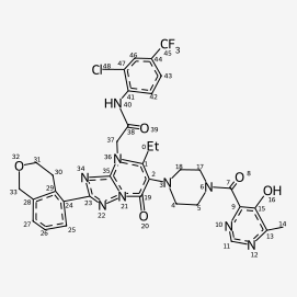 CCc1c(N2CCN(C(=O)c3ncnc(C)c3O)CC2)c(=O)n2nc(-c3cccc4c3CCOC4)nc2n1CC(=O)Nc1ccc(C(F)(F)F)cc1Cl